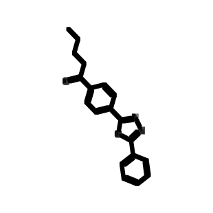 CCCCC(=O)c1ccc(-c2nnc(-c3ccccc3)o2)cc1